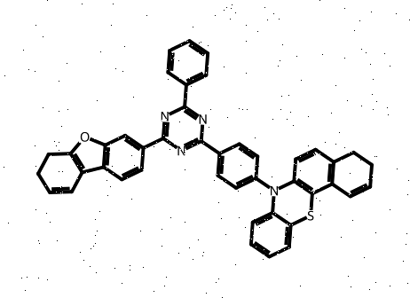 C1=Cc2c(ccc3c2Sc2ccccc2N3c2ccc(-c3nc(-c4ccccc4)nc(-c4ccc5c6c(oc5c4)CCC=C6)n3)cc2)CC1